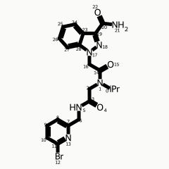 CC(C)N(CC(=O)NCc1cccc(Br)n1)C(=O)Cn1nc(C(N)=O)c2ccccc21